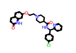 O=C(NC(c1ccc(Cl)cc1)c1ccccn1)C1CCN(CCOc2ccc3ccc(=O)[nH]c3c2)CC1